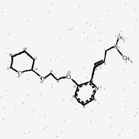 CN(C)C/C=C/c1ncccc1OCCOC1CCCCO1